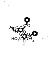 CO[C@H]1OC(COC(=O)c2ccccc2)[C@@H](O[C@@H]2OC(C(=O)O)[C@@H](O)[C@H](C)C2OC(=O)c2ccccc2)[C@H](C)C1N=[N+]=[N-]